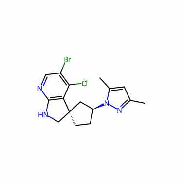 Cc1cc(C)n([C@H]2CC[C@@]3(CNc4ncc(Br)c(Cl)c43)C2)n1